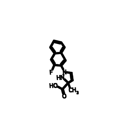 CC1(C(=O)O)C=CN(c2cc3ccccc3cc2F)N1